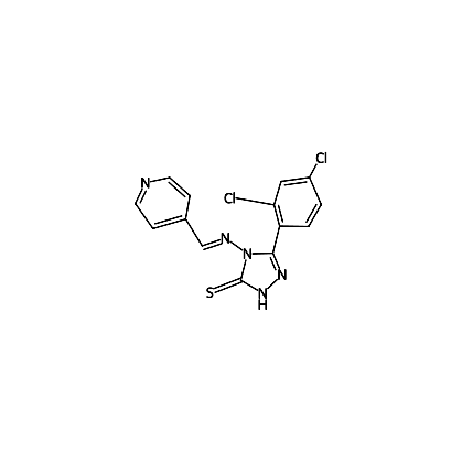 S=c1[nH]nc(-c2ccc(Cl)cc2Cl)n1/N=C/c1ccncc1